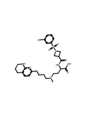 CN(CCCCc1ccc2c(n1)NCCC2)CCC(NC(=O)C1CN(S(=O)(=O)c2cccc(Cl)c2)C1)C(=O)O